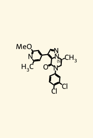 COc1cc(-c2cnn3c2C(=O)N(c2ccc(Cl)c(Cl)c2)C[C@@H]3C)cc(C)n1